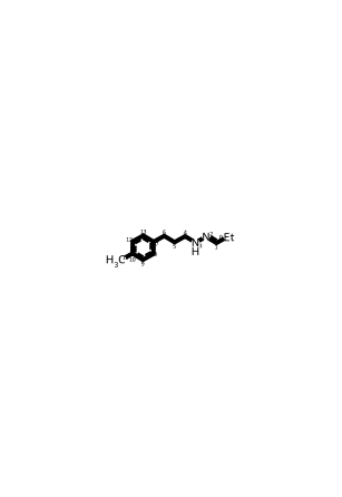 CCC=NNCCCc1ccc(C)cc1